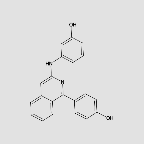 Oc1ccc(-c2nc(Nc3cccc(O)c3)cc3ccccc23)cc1